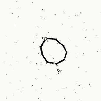 C1CCCCNCCC1.[Cu]